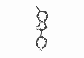 Cc1ccc2cc(-c3ccncc3)oc2c1